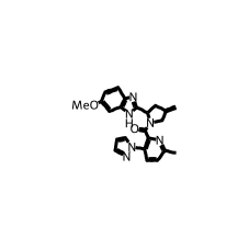 C=C1CC(c2nc3ccc(OC)cc3[nH]2)N(C(=O)c2nc(C)ccc2-n2cccn2)C1